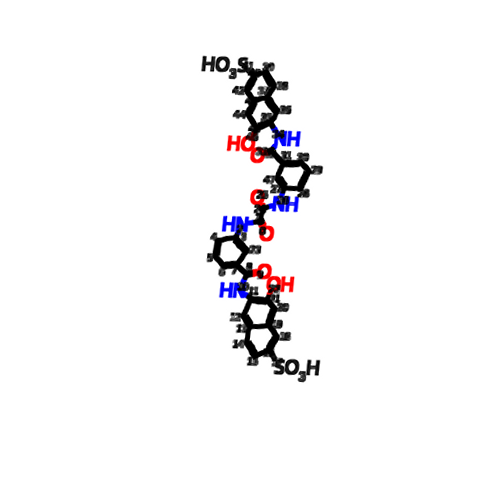 O=C(Nc1cccc(C(=O)Nc2cc3ccc(S(=O)(=O)O)cc3cc2O)c1)C(=O)Nc1cccc(C(=O)Nc2cc3ccc(S(=O)(=O)O)cc3cc2O)c1